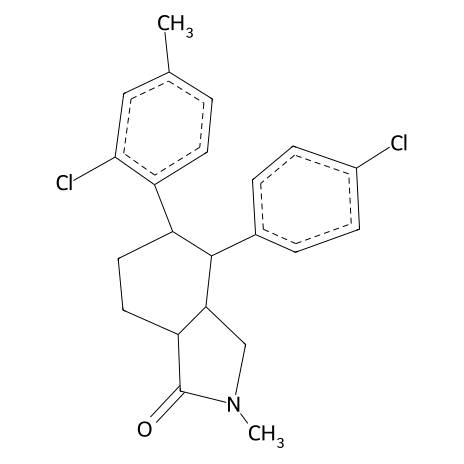 Cc1ccc(C2CCC3C(=O)N(C)CC3C2c2ccc(Cl)cc2)c(Cl)c1